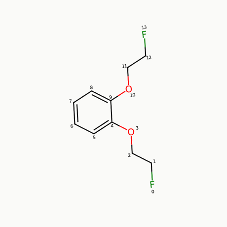 FCCOc1ccccc1OCCF